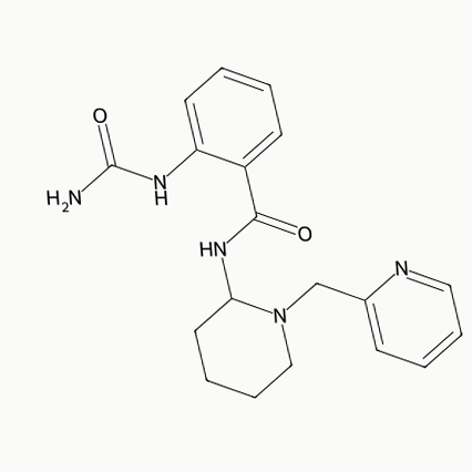 NC(=O)Nc1ccccc1C(=O)NC1CCCCN1Cc1ccccn1